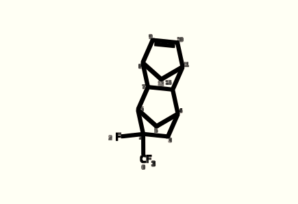 FC(F)(F)C1(F)CC2CC1C1C3C=CC(C3)C21